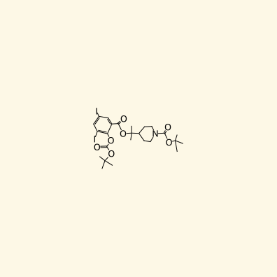 CC(C)(C)OC(=O)Oc1c(I)cc(I)cc1C(=O)OC(C)(C)C1CCN(C(=O)OC(C)(C)C)CC1